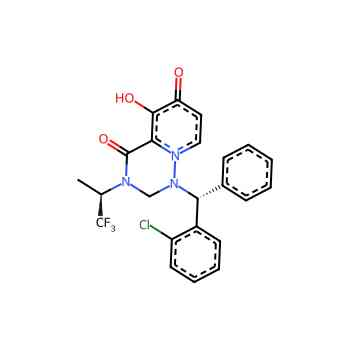 C[C@@H](N1CN([C@H](c2ccccc2)c2ccccc2Cl)n2ccc(=O)c(O)c2C1=O)C(F)(F)F